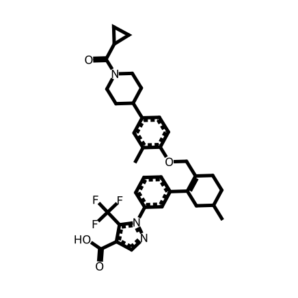 Cc1cc(C2CCN(C(=O)C3CC3)CC2)ccc1OCC1=C(c2cccc(-n3ncc(C(=O)O)c3C(F)(F)F)c2)CC(C)CC1